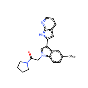 COc1ccc2c(c1)c(-c1cc3cccnc3[nH]1)cn2CC(=O)N1CCCC1